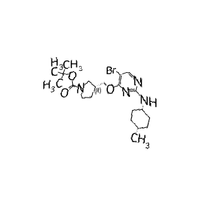 CC(C)(C)OC(=O)N1CC[C@@H](COc2nc(N[C@H]3CC[C@@H](C)CC3)ncc2Br)C1